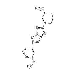 O=C(O)C1CCCN(c2nn3cc(-c4cccc(OC(F)(F)F)c4)nc3s2)C1